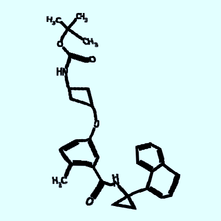 Cc1ccc(OC2CC(NC(=O)OC(C)(C)C)C2)cc1C(=O)NC1(c2cccc3ccccc23)CC1